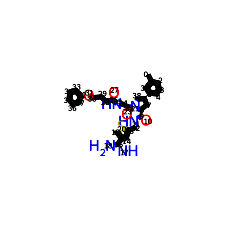 Cc1cccc([C@@H]2C[C@@H](C(=O)NCc3cc(C(=N)N)cs3)N(C(=O)CNC(=O)CCCOc3ccccc3)C2)c1